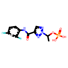 CC(OP(=O)(O)O)n1ncc(C(=O)Nc2ccc(F)cc2F)n1